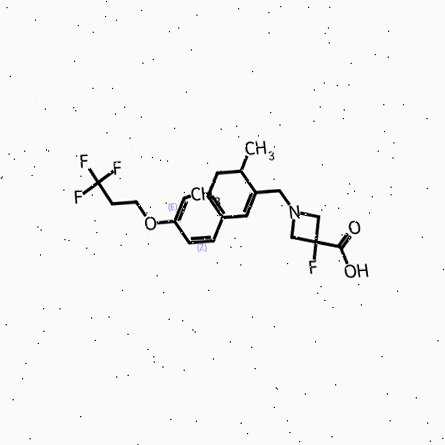 C/C=C(\C=C/C1=CCC(C)C(CN2CC(F)(C(=O)O)C2)=C1)OCCC(F)(F)F